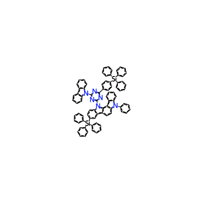 c1ccc(-n2c3ccccc3c3c2ccc2c4cc([Si](c5ccccc5)(c5ccccc5)c5ccccc5)ccc4n(-c4nc(-c5ccc([Si](c6ccccc6)(c6ccccc6)c6ccccc6)cc5)nc(-n5c6ccccc6c6ccccc65)n4)c23)cc1